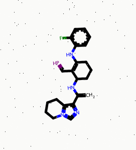 C=C(NC1CCCC(Nc2ccccc2F)=C1C=P)c1ncn2c1CCCC2